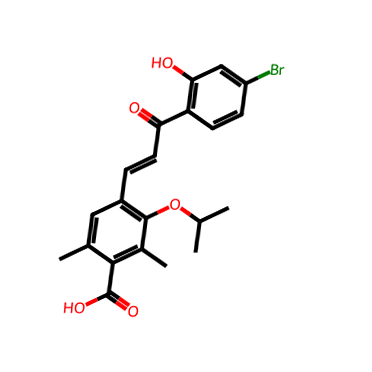 Cc1cc(/C=C/C(=O)c2ccc(Br)cc2O)c(OC(C)C)c(C)c1C(=O)O